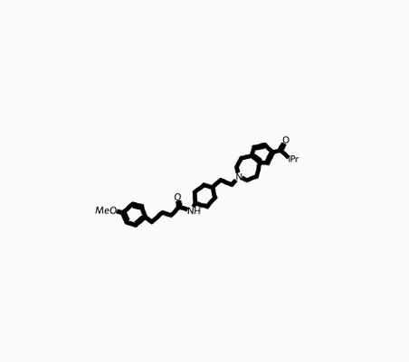 COc1ccc(CCCC(=O)NC2CCC(CCN3CCc4ccc(C(=O)C(C)C)cc4CC3)CC2)cc1